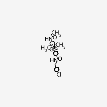 C=CC(=O)NC1CC(C)N(S(=O)(=O)c2ccc(C(=O)NCCc3ccc(Cl)cc3)cc2)C(C)C1